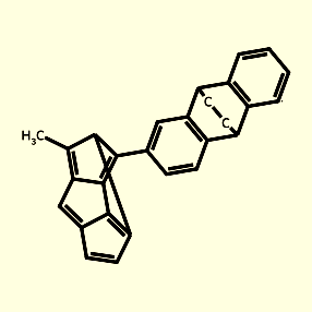 CC1=C2C=C3C=CC4=C3C2=C(c2ccc3c(c2)C2CCC3c3[c]cccc32)C14